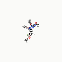 CCc1cc(OCOCC[Si](C)(C)C)c(F)cc1-c1ccc2c(-c3nc4c(n3COCC[Si](C)(C)C)CN(C(=O)C3CC3)C4)nn(COCC[Si](C)(C)C)c2c1